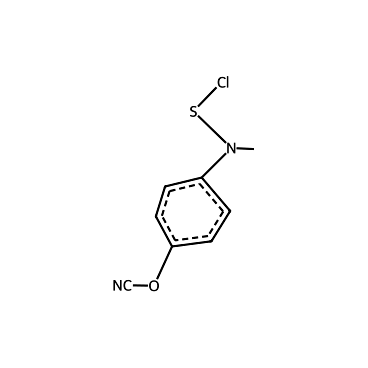 CN(SCl)c1ccc(OC#N)cc1